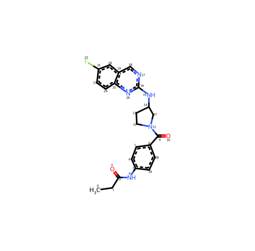 CCC(=O)Nc1ccc(C(=O)N2CCC(Nc3ncc4cc(F)ccc4n3)C2)cc1